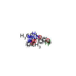 CN/C(C)=C(/NC(=O)c1noc2c1CCCc1cc(OC(F)(F)F)ccc1-2)C(=O)Nc1ccccc1OC